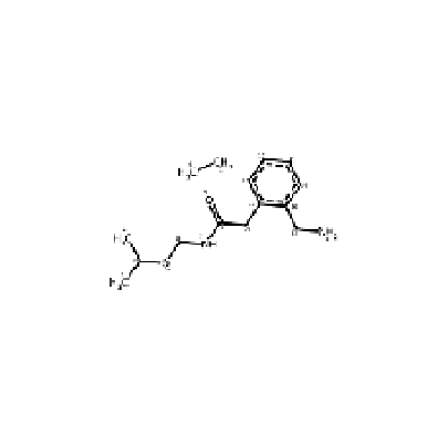 CC.CC(C)OCNC(=O)Cc1ccccc1CN